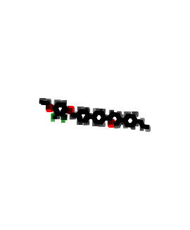 CCCC1CCC(C2CCC(C3CCC(c4ccc(COc5ccc(OCC)c(F)c5F)cc4)CC3)OC2)CC1